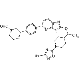 CC(C)c1noc(N2CCC(C(C)Oc3nc4ccc(-c5ccc(C6CN(C=O)CCO6)cc5)nc4s3)CC2)n1